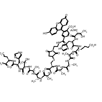 CC(=O)N[C@@H](C(=O)N[C@H](Cc1c[nH]cn1)C(=O)N[C@H](CCCC(=O)O)C(=O)N[C@H](C)C(=O)N[C@H](C)C(=O)N[C@H](C)C(=O)N[C@H](CSC1CC(=O)N(CCNC(=O)c2ccc(C(=O)O)c(-c3c4ccc(=O)cc-4oc4cc(O)ccc34)c2)C1=O)C(=O)N[C@H](C)C(=O)N[C@H](C)C(=O)N[C@H](C)C(=O)N[C@@H](C(=O)N[C@H](Cc1c[nH]cn1)C(=O)N[C@H](CCC(=O)O)C(N)=O)[C@H](C)O)[C@H](C)O